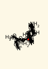 CC(C)[C@H](NC(=O)CN=[N+]=[N-])C(=O)N[C@@H](CCCNC(N)=O)C(=O)Nc1ccc(COC(=O)OC2[C@@H]3O[P@](=O)(S)OCC4O[C@@H](n5cnc6c(N)ncnc65)[C@H](F)[C@@H]4O[P@](=O)(S)OCC3O[C@H]2n2cnc3c(N)ncnc32)cc1